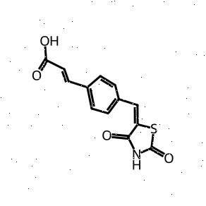 O=C(O)/C=C/c1ccc(/C=C2/SC(=O)NC2=O)cc1